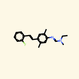 CCN(C)/C=N/c1cc(C)c(/C=C/c2ccccc2F)cc1C